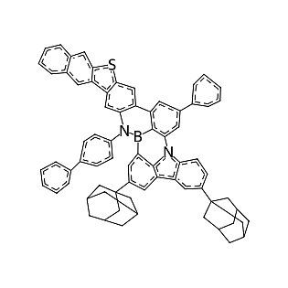 c1ccc(-c2ccc(N3B4c5c(cc(-c6ccccc6)cc5-n5c6ccc(C78CC9CC(CC(C9)C7)C8)cc6c6cc(C78CC9CC(CC(C9)C7)C8)cc4c65)-c4cc5sc6cc7ccccc7cc6c5cc43)cc2)cc1